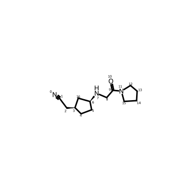 N#CC[C@@H]1CC[C@H](NCC(=O)N2CCCC2)C1